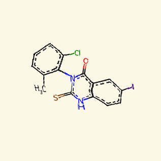 Cc1cccc(Cl)c1-n1c(=S)[nH]c2ccc(I)cc2c1=O